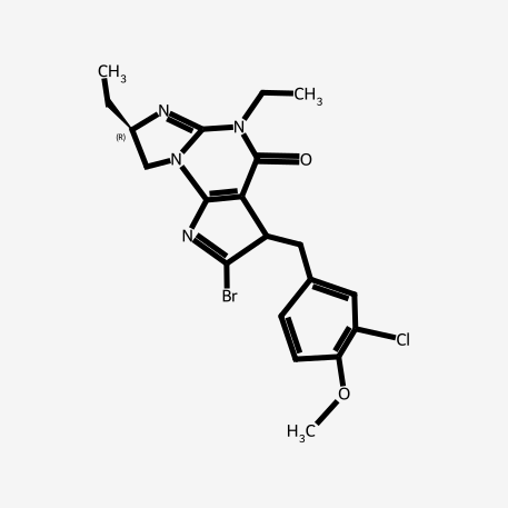 CC[C@@H]1CN2C(=N1)N(CC)C(=O)C1=C2N=C(Br)C1Cc1ccc(OC)c(Cl)c1